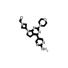 Nc1ncc(-c2nc(N3CCOCC3)nc3c2CCN3C2CN(C=O)C2)cn1